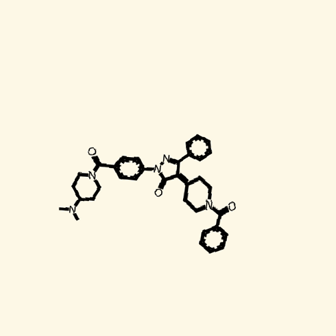 CN(C)C1CCN(C(=O)c2ccc(N3N=C(c4ccccc4)C(=C4CCN(C(=O)c5ccccc5)CC4)C3=O)cc2)CC1